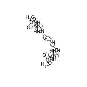 COC(=O)N[C@H](C(=O)N1CCC[C@H]1c1nc(-c2cnc3cc(-c4ccc(-c5cnc([C@@H]6CCCN6C(=O)[C@@H](NC(=O)OC)C6CCOCC6)[nH]5)cn4)ccc3c2)c[nH]1)C1CCOCC1